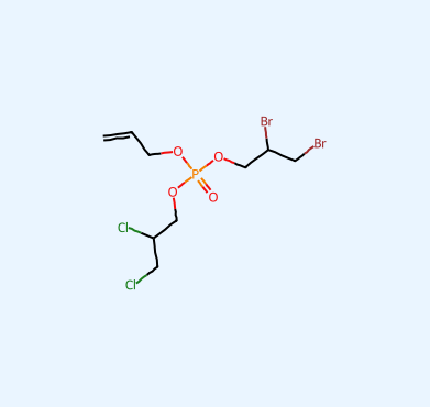 C=CCOP(=O)(OCC(Cl)CCl)OCC(Br)CBr